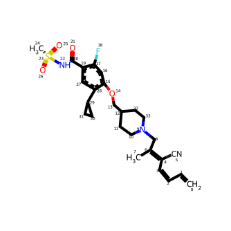 C=C/C=C\C(C#N)=C(/C)CN1CCC(COc2cc(F)c(C(=O)NS(C)(=O)=O)cc2C2CC2)CC1